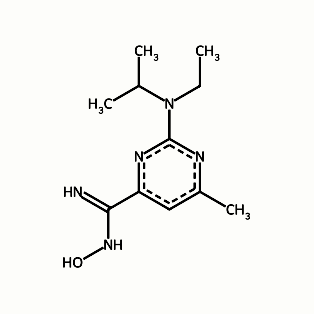 CCN(c1nc(C)cc(C(=N)NO)n1)C(C)C